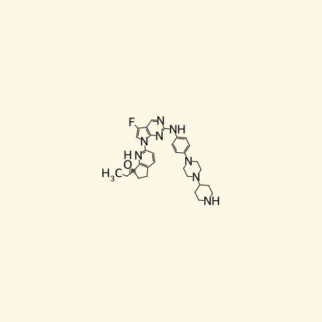 CC[C@@]1(O)CCc2ccc(-n3cc(F)c4cnc(Nc5ccc(N6CCN(C7CCNCC7)CC6)cc5)nc43)nc21